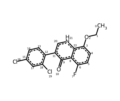 CCOc1ccc(F)c2c(=O)c(-c3ccc(Cl)cc3Cl)c[nH]c12